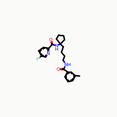 Cc1cccc(C(=O)NCCCCC2(NC(=O)c3ccc(F)cn3)CCCC2)c1